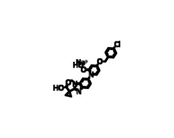 Cn1c(C2(C(=O)O)CC2)nc2ccc(-n3ccc(OCc4ccc(Cl)cc4)cc3=O)cc21.[Na+].[OH-]